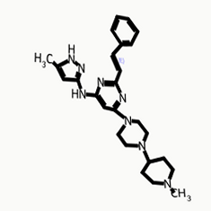 Cc1cc(Nc2cc(N3CCN(C4CCN(C)CC4)CC3)nc(/C=C/c3ccccc3)n2)n[nH]1